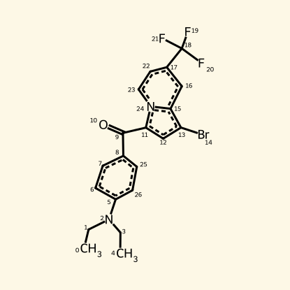 CCN(CC)c1ccc(C(=O)c2cc(Br)c3cc(C(F)(F)F)ccn23)cc1